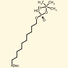 CCCCCCCCCCCCCCCCCCCCOP(=O)(O)OP(C)(C)(C)CC